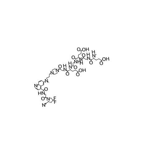 CNC(CCC(=O)O)C(=O)NCC(=O)NC(CCC(=O)O)C(=O)NCC(=O)NC(CCC(=O)O)C(=O)NCC(=O)N1CCN(CCCN(C)c2ccc3nccc(C(=O)NCC(=O)N4CC(F)(F)CC4C#N)c3c2)CC1